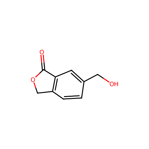 O=C1OCc2ccc(CO)cc21